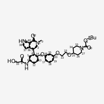 Cn1cc(-c2cc(NC(=O)CO)ccc2Oc2cccc(OCCOC3CCN(C(=O)OC(C)(C)C)CC3)c2)c2cc[nH]c2c1=O